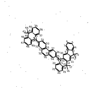 CC1(C)c2ccccc2-c2cc3c(cc21)C(C)(C)c1ccccc1N3c1ccc2c(ccc3cc(N4c5ccccc5C(C)(C)c5ccccc54)ccc32)c1